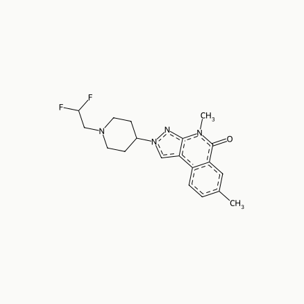 Cc1ccc2c(c1)c(=O)n(C)c1nn(C3CCN(CC(F)F)CC3)cc21